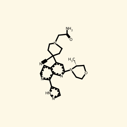 C[C@@H]1COCCN1c1cc(C2(C#N)CCN(CC(N)=O)CC2)c2ccnc(-c3ccn[nH]3)c2n1